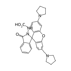 O=C(O)NN1C(=O)c2ccccc2C12c1ccc(N3CCCC3)cc1Oc1cc(N3CCCC3)ccc12